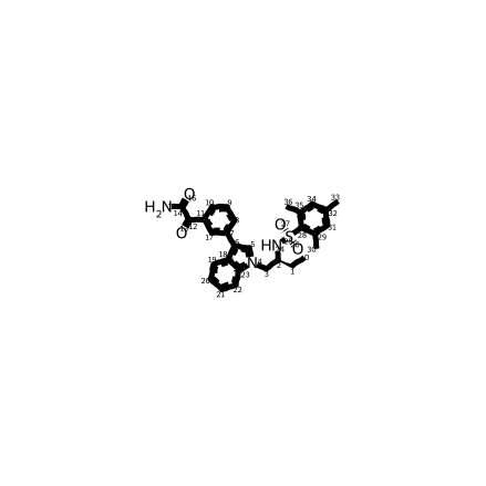 CC[C@@H](Cn1cc(-c2cccc(C(=O)C(N)=O)c2)c2ccccc21)NS(=O)(=O)c1c(C)cc(C)cc1C